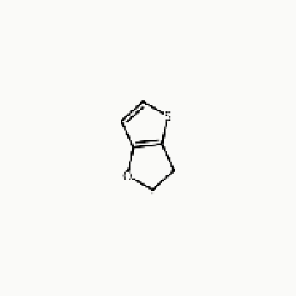 [CH]1Cc2sccc2O1